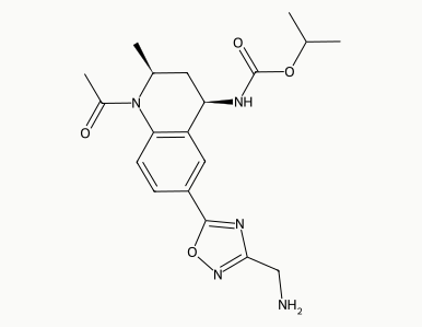 CC(=O)N1c2ccc(-c3nc(CN)no3)cc2[C@H](NC(=O)OC(C)C)C[C@@H]1C